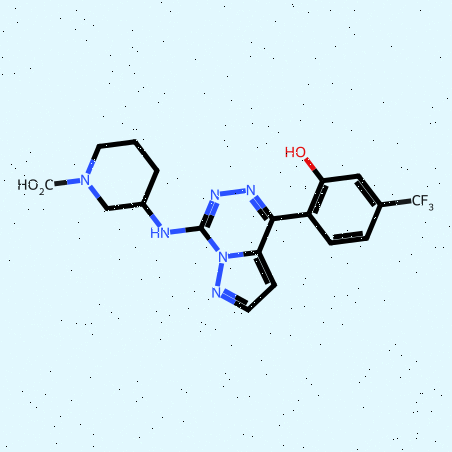 O=C(O)N1CCCC(Nc2nnc(-c3ccc(C(F)(F)F)cc3O)c3ccnn23)C1